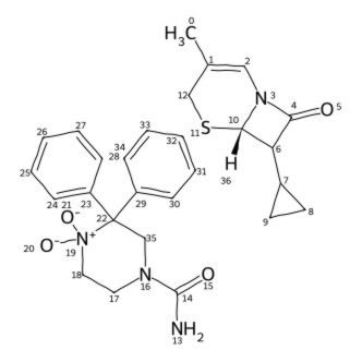 CC1=CN2C(=O)C(C3CC3)[C@@H]2SC1.NC(=O)N1CC[N+]([O-])([O-])C(c2ccccc2)(c2ccccc2)C1